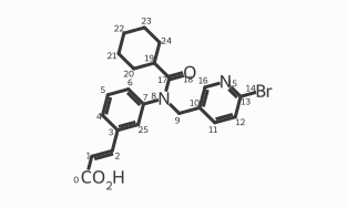 O=C(O)C=Cc1cccc(N(Cc2ccc(Br)nc2)C(=O)C2CCCCC2)c1